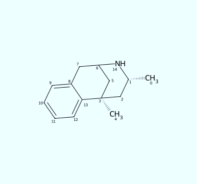 C[C@@H]1C[C@]2(C)CC(Cc3ccccc32)N1